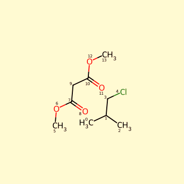 CC(C)CCl.COC(=O)CC(=O)OC